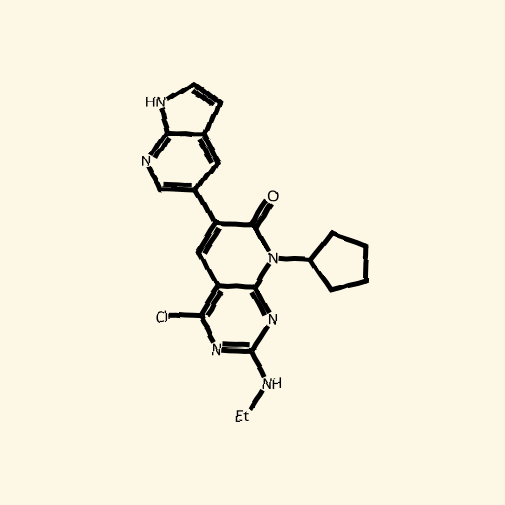 CCNc1nc(Cl)c2cc(-c3cnc4[nH]ccc4c3)c(=O)n(C3CCCC3)c2n1